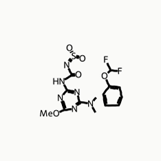 COc1nc(NC(=O)N=S(=O)=O)nc(N(C)C)n1.FC(F)Oc1ccccc1